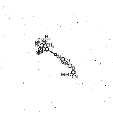 COc1cc(OC2CCC(NC(=O)c3ccc(N4CC5(CC(C#Cc6ccc(C7=NC(Cc8ncco8)c8nnc(C)n8-c8sc(C)c(C)c87)c(F)c6)C5)C4)nn3)CC2)ccc1C#N